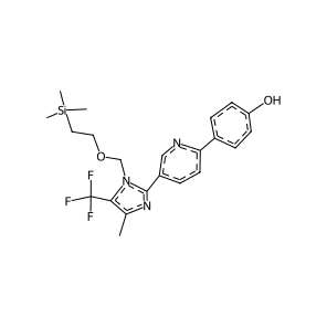 Cc1nc(-c2ccc(-c3ccc(O)cc3)nc2)n(COCC[Si](C)(C)C)c1C(F)(F)F